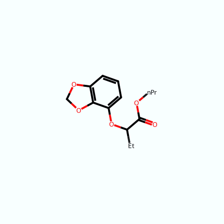 CCCOC(=O)C(CC)Oc1cccc2c1OCO2